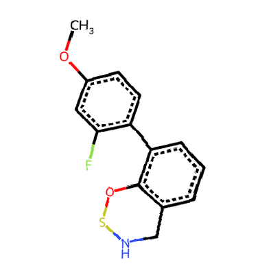 COc1ccc(-c2cccc3c2OSNC3)c(F)c1